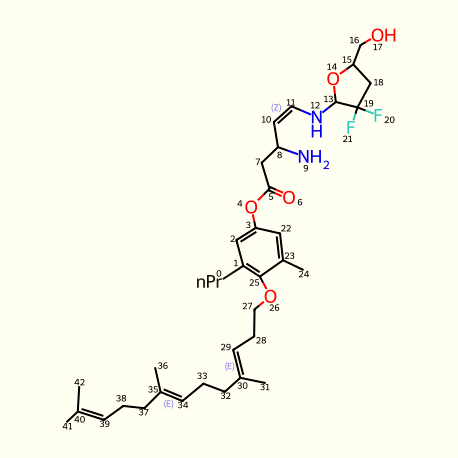 CCCc1cc(OC(=O)CC(N)/C=C\NC2OC(CO)CC2(F)F)cc(C)c1OCC/C=C(\C)CC/C=C(\C)CCC=C(C)C